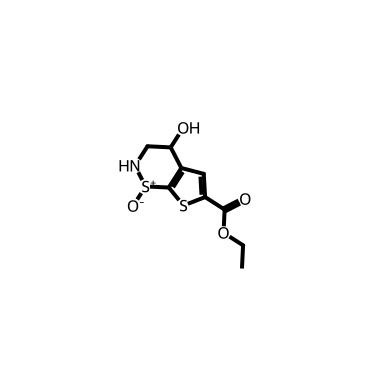 CCOC(=O)c1cc2c(s1)[S+]([O-])NCC2O